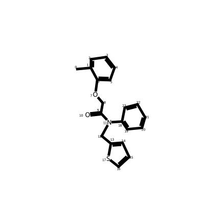 Cc1ccccc1OCC(=O)N(Cc1cccs1)c1ccccc1